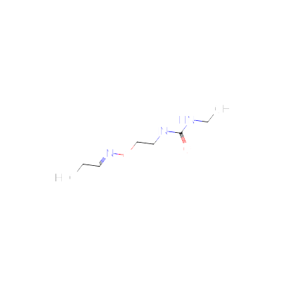 CCC=NOCCNC(=O)NCC